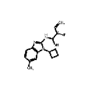 C=C[C@@H](C(C)C)C(O)Nc1nc2ccc(C)cc2n1C1CCC1